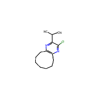 N#CC(C#N)c1nc2c(nc1Cl)CCCCCCC2